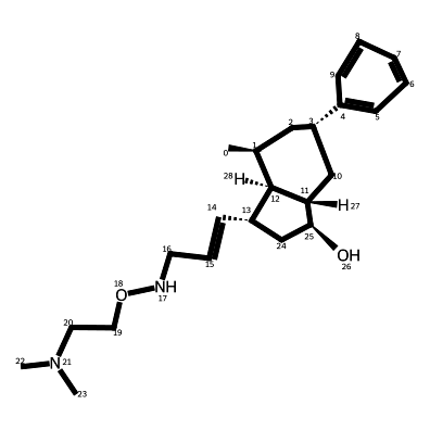 C[C@H]1C[C@H](c2ccccc2)C[C@H]2[C@H]1[C@@H](/C=C/CNOCCN(C)C)C[C@@H]2O